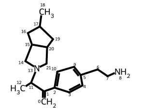 C=C(c1ccc(CCN)cc1)C(C)N1CC2CC(C)CC2C1